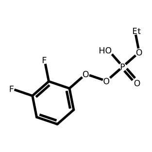 CCOP(=O)(O)OOc1cccc(F)c1F